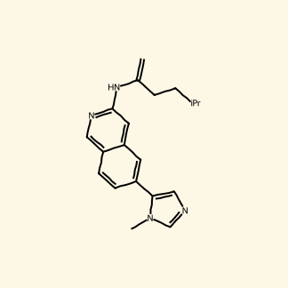 C=C(CCC(C)C)Nc1cc2cc(-c3cncn3C)ccc2cn1